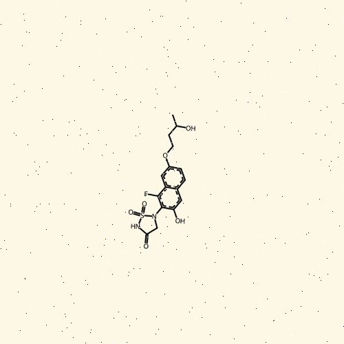 CC(O)CCOc1ccc2cc(O)c(N3CC(=O)NS3(=O)=O)c(F)c2c1